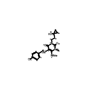 CNc1c(NCc2ccc(Cl)cc2)c(=O)n(CCC2(O)CC2)c(=O)n1C